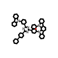 c1ccc(-c2ccc(-c3nc(-c4ccc(-n5c6ccccc6c6ccc7c8ccccc8n(-c8ccccc8)c7c65)cc4)nc(-c4cccc(-n5c6ccccc6c6ccccc65)c4)n3)cc2)cc1